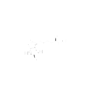 COC(=O)CCCC[C@H]1SCC2NC(=O)NC21